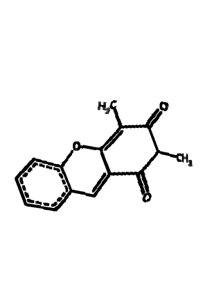 CC1=C2Oc3ccccc3C=C2C(=O)C(C)C1=O